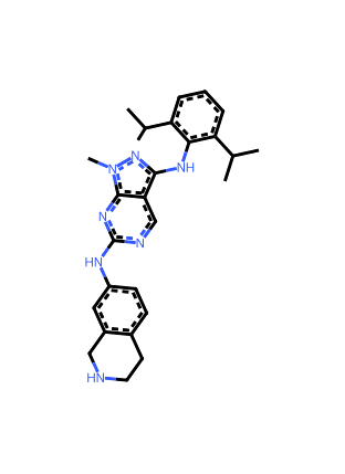 CC(C)c1cccc(C(C)C)c1Nc1nn(C)c2nc(Nc3ccc4c(c3)CNCC4)ncc12